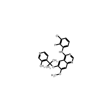 COc1cc2ncnc(Nc3cccc(Cl)c3F)c2cc1OC(C)(C)c1ccncc1C